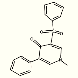 Cn1cc(-c2ccccc2)c(=O)c(S(=O)(=O)c2ccccc2)c1